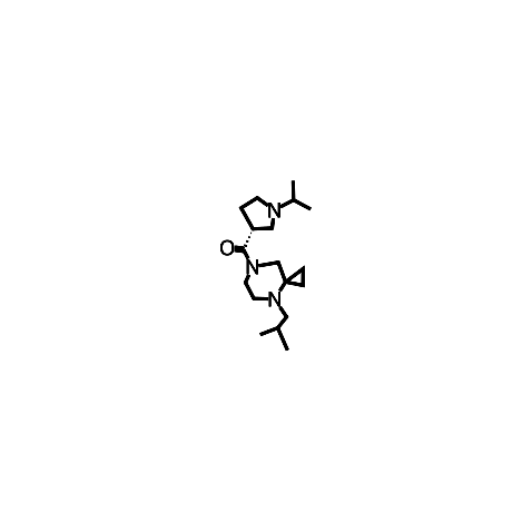 CC(C)CN1CCN(C(=O)[C@@H]2CCN(C(C)C)C2)CC12CC2